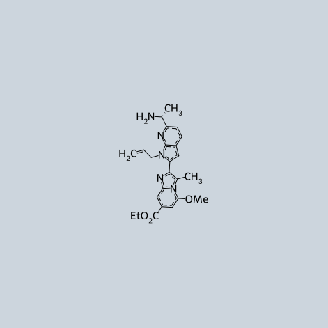 C=CCn1c(-c2nc3cc(C(=O)OCC)cc(OC)n3c2C)cc2ccc([C@@H](C)N)nc21